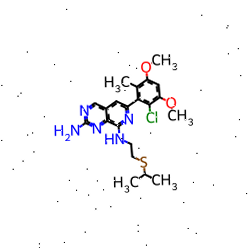 COc1cc(OC)c(Cl)c(-c2cc3cnc(N)nc3c(NCCSC(C)C)n2)c1C